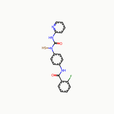 O=C(Nc1ccc(N(S)C(=O)Nc2ccccn2)cc1)c1ccccc1F